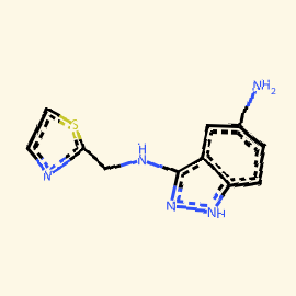 Nc1ccc2[nH]nc(NCc3nccs3)c2c1